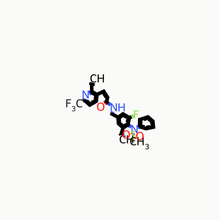 C#Cc1cc(CNC(=O)/C=C\c2ccc(C(F)(F)F)nc2C#C)cc(F)c1N(c1ccccc1)S(C)(=O)=O